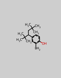 Bc1cc(C(CC(C)(C)C)C(C)(C)C)ccc1O